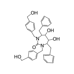 O=C1N(Cc2ccc(CO)cc2)C(Cc2ccccc2)C(O)C(O)C(Cc2ccccc2)N1Cc1ccc(CO)cc1